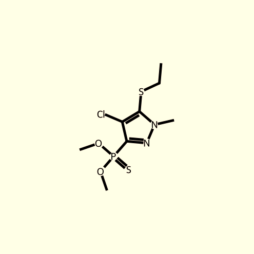 CCSc1c(Cl)c(P(=S)(OC)OC)nn1C